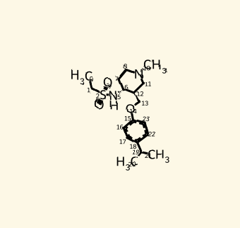 CCS(=O)(=O)N[C@@H]1CCN(C)C[C@H]1COc1ccc(C(C)C)cc1